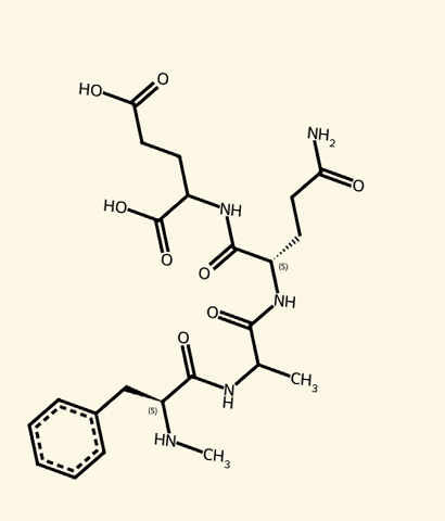 CN[C@@H](Cc1ccccc1)C(=O)NC(C)C(=O)N[C@@H](CCC(N)=O)C(=O)NC(CCC(=O)O)C(=O)O